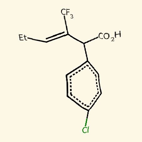 CCC=C(C(C(=O)O)c1ccc(Cl)cc1)C(F)(F)F